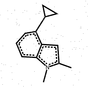 Cc1cc2c(C3CC3)cccc2n1C